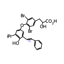 CC(C)c1cc(Oc2c(Br)cc(CC(O)C(=O)O)cc2Br)cc(/C=C/c2ccccc2)c1O